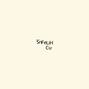 [Cu].[Fe].[LiH].[Sn]